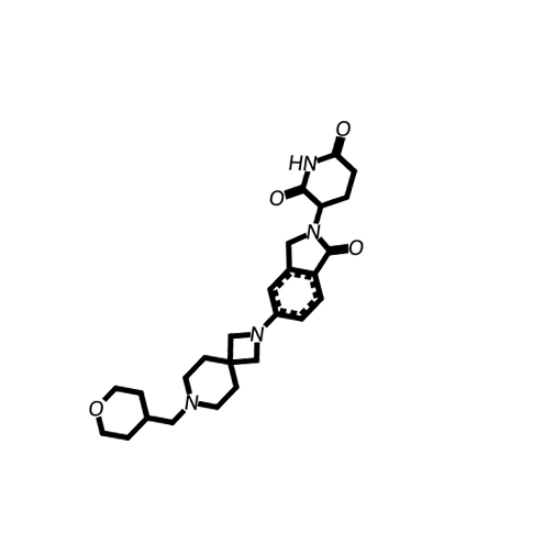 O=C1CCC(N2Cc3cc(N4CC5(CCN(CC6CCOCC6)CC5)C4)ccc3C2=O)C(=O)N1